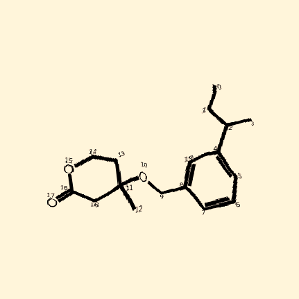 CCC(C)c1cccc(COC2(C)CCOC(=O)C2)c1